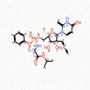 C=C=C[C@]1(O)[C@H](N2C=CC(=O)NC2=C)O[C@](F)(CO[P@@](=O)(N[C@@H](C)C(=O)OC(C)C)Oc2ccccc2)[C@H]1O